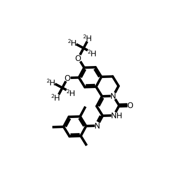 [2H]C([2H])([2H])Oc1cc2c(cc1OC([2H])([2H])[2H])-c1c/c(=N\c3c(C)cc(C)cc3C)[nH]c(=O)n1CC2